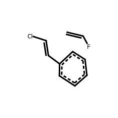 C=CF.ClC=Cc1ccccc1